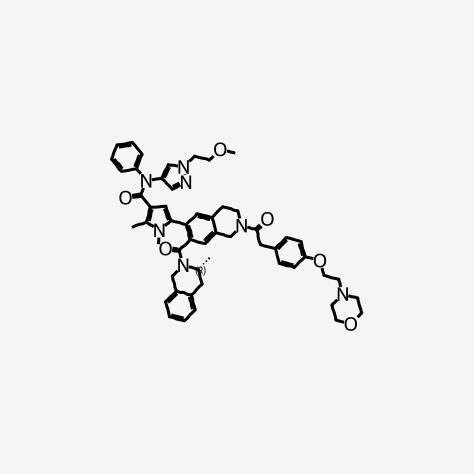 COCCn1cc(N(C(=O)c2cc(-c3cc4c(cc3C(=O)N3Cc5ccccc5C[C@H]3C)CN(C(=O)Cc3ccc(OCCN5CCOCC5)cc3)CC4)n(C)c2C)c2ccccc2)cn1